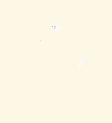 CCNC1C=CC(C(N)O)=CC1